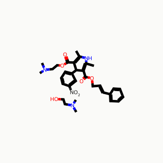 CC1=C(C(=O)OCC=Cc2ccccc2)C(c2cccc([N+](=O)[O-])c2)C(C(=O)OCCN(C)C)=C(C)N1.CN(C)CCO